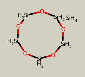 O1[SiH2]O[SiH2]O[SiH2]O[SiH2]O[SiH2]1.[SiH4]